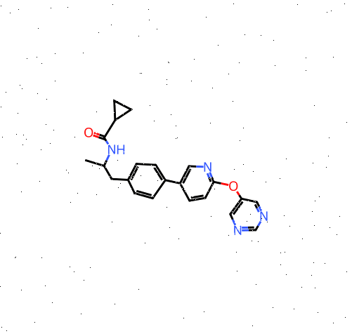 CC(Cc1ccc(-c2ccc(Oc3cncnc3)nc2)cc1)NC(=O)C1CC1